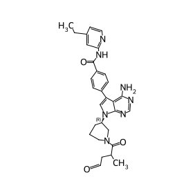 CCc1ccnc(NC(=O)c2ccc(-c3cn([C@@H]4CCCN(C(=O)C(C)CC=O)C4)c4ncnc(N)c34)cc2)c1